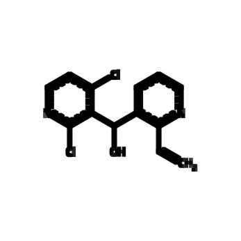 C=Cc1ncccc1C(O)c1c(Cl)ccnc1Cl